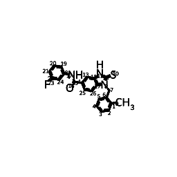 Cc1ccccc1Cn1c(=S)[nH]c2cc(C(=O)Nc3cccc(F)c3)ccc21